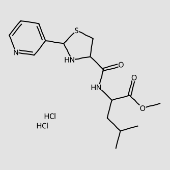 COC(=O)C(CC(C)C)NC(=O)C1CSC(c2cccnc2)N1.Cl.Cl